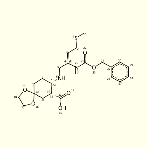 CSCC[C@H](CN[C@H]1CCC2(C[C@H]1C(=O)O)OCCO2)NC(=O)OCc1ccccc1